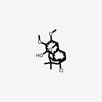 COc1c(OC)c(O)c2c3c(Cl)c4cc2c1OC3C(C)(C)C4